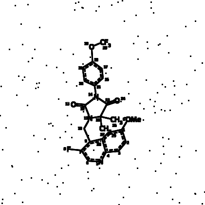 COc1ccc2ncc(F)c(CN3C(=O)N(c4ccc(OC(F)(F)F)cc4)C(=O)C3(C)C)c2c1